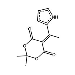 CC(=C1C(=O)OC(C)(C)OC1=O)c1ccc[nH]1